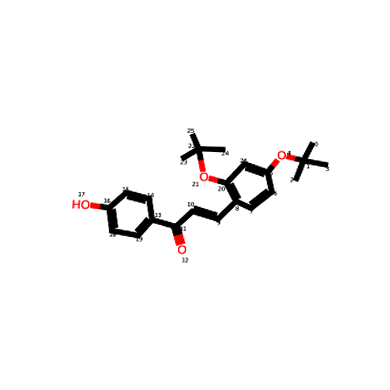 CC(C)(C)Oc1ccc(/C=C/C(=O)c2ccc(O)cc2)c(OC(C)(C)C)c1